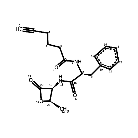 C#CCCCC(=O)N[C@@H](Cc1ccccc1)C(=O)N[C@@H]1C(=O)O[C@@H]1C